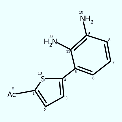 CC(=O)c1ccc(-c2cccc(N)c2N)s1